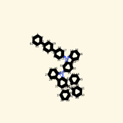 c1ccc(-c2ccc(-c3ccc(-n4c5ccccc5c5ccc(-n6c7ccccc7c7ccc([Si](c8ccccc8)(c8ccccc8)c8ccccc8)cc76)cc54)cc3)cc2)cc1